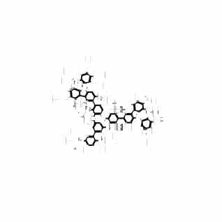 Bc1cc(-n2c3c(B)c(B)c(B)c(B)c3c3c(B)c(-c4c(B)cc(N(c5cc(B)c(-c6c(B)cc7c(c6B)c6c(B)c(B)c(B)c(B)c6n7-c6c(B)c(B)c(B)c(B)c6B)c(B)c5B)c5c(B)cc(-c6c(B)c(B)c(B)c(B)c6B)c(B)c5B)cc4B)c(B)c(B)c32)c(B)c(B)c1B